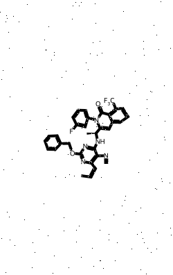 C=Nc1c(/C=C\C)nc(OCc2ccccc2)nc1N[C@@H](C)c1cc2cccc(C(F)(F)F)c2c(=O)n1-c1cccc(F)c1